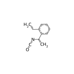 C=Cc1ccccc1C(=C)N=C=O